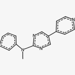 CN(c1ccccc1)c1ncc(-c2ccncc2)cn1